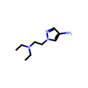 CCN(CC)CCn1cc(N)cn1